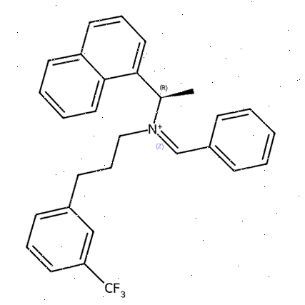 C[C@H](c1cccc2ccccc12)/[N+](=C\c1ccccc1)CCCc1cccc(C(F)(F)F)c1